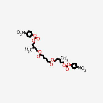 CC(CCOC(=O)CCCCC(=O)OCCC(C)CCOC(=O)Oc1ccc([N+](=O)[O-])cc1)CCOC(=O)Oc1ccc([N+](=O)[O-])cc1